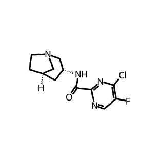 O=C(N[C@@H]1C[C@H]2CCN(C2)C1)c1ncc(F)c(Cl)n1